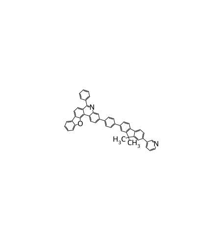 CC1(C)c2cc(-c3ccc(-c4ccc5c(c4)nc(-c4ccccc4)c4ccc6c7ccccc7oc6c45)cc3)ccc2-c2ccc(-c3cccnc3)cc21